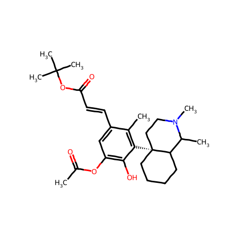 CC(=O)Oc1cc(/C=C/C(=O)OC(C)(C)C)c(C)c([C@@]23CCCCC2C(C)N(C)CC3)c1O